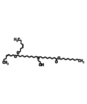 CCC/C=C\CCOC(CCCCCCCCN(CCO)CCCCCCCC(=O)OCCCCCCCCC)OCC/C=C\CCC